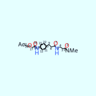 CNC(=O)CCNC(=O)CCc1ccc(NC(=O)COCC(C)=O)cc1